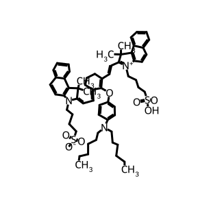 CCCCCCN(CCCCCC)c1ccc(OC2=C(/C=C/C3=[N+](CCCCS(=O)(=O)O)c4ccc5ccccc5c4C3(C)C)CCC/C2=C\C=C2\N(CCCCS(=O)(=O)[O-])c3ccc4ccccc4c3C2(C)C)cc1